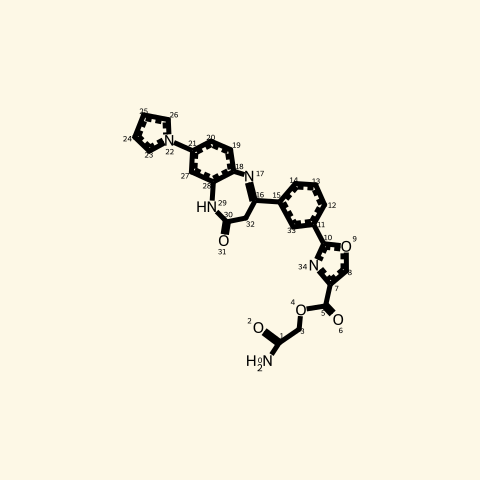 NC(=O)COC(=O)c1coc(-c2cccc(C3=Nc4ccc(-n5cccc5)cc4NC(=O)C3)c2)n1